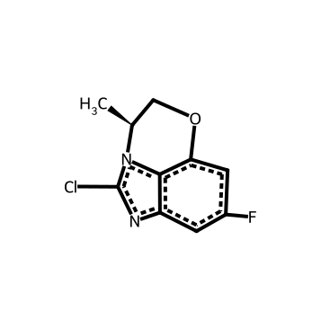 C[C@H]1COc2cc(F)cc3nc(Cl)n1c23